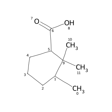 CC1CCCC(C(=O)O)C1(C)C